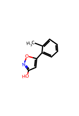 Cc1ccccc1-c1cc(O)no1